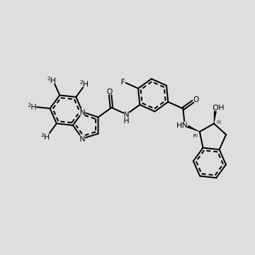 [2H]c1c([2H])c([2H])n2c(C(=O)Nc3cc(C(=O)N[C@@H]4c5ccccc5C[C@@H]4O)ccc3F)cnc2c1[2H]